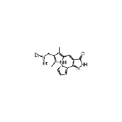 CCN(CC)Cc1c(C)[nH]c(/C=C2/C(=O)NN=C2c2cccs2)c1C